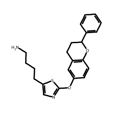 NCCCCc1cnc(Oc2ccc3c(c2)CCC(c2ccccc2)O3)s1